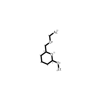 CCOC1CCCC(COCC(C)=O)O1